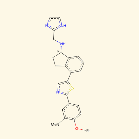 CNc1cc(-c2ncc(-c3cccc4c3CC[C@@H]4NCc3ncc[nH]3)s2)ccc1OC(C)C